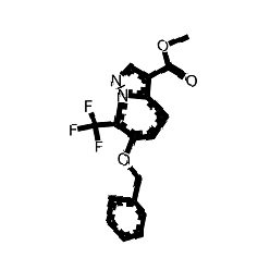 COC(=O)c1cnn2c(C(F)(F)F)c(OCc3ccccc3)ccc12